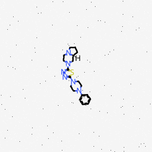 c1ccc(N2CCN(c3nnc(N4CCN5CCC[C@H]5C4)s3)CC2)cc1